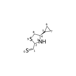 S=CC1N[C@H](C2CC2)CS1